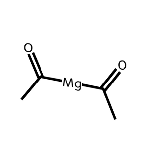 C[C](=O)[Mg][C](C)=O